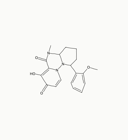 COc1ccccc1C1CCCC2N(C)C(=O)c3c(O)c(=O)ccn3N12